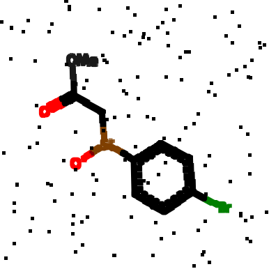 COC(=O)C[S+]([O-])c1ccc(Br)cc1